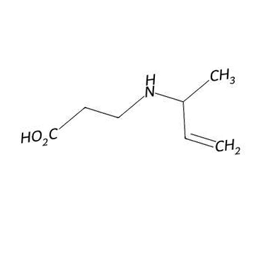 C=CC(C)NCCC(=O)O